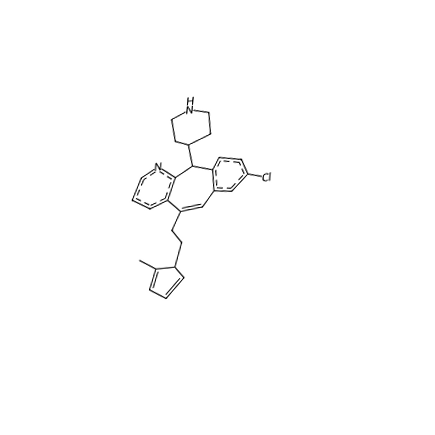 CC1=CC=CC1CCC1=Cc2cc(Cl)ccc2C(C2CCNCC2)c2ncccc21